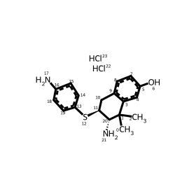 CC1(C)c2cc(O)ccc2C[C@H](Sc2ccc(N)cc2)[C@H]1N.Cl.Cl